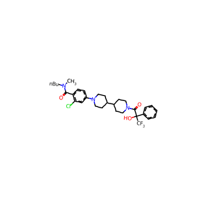 CCCCN(C)C(=O)c1ccc(N2CCC(C3CCN(C(=O)C(O)(c4ccccc4)C(F)(F)F)CC3)CC2)cc1Cl